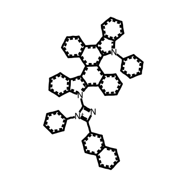 c1ccc(-n2c3ccccc3c3c4ccccc4c4c5c6ccccc6n(C6=NC(c7ccc8ccccc8c7)=[N+]6c6ccccc6)c5c5ccccc5c4c32)cc1